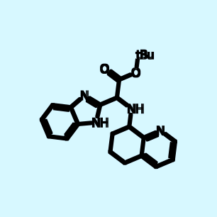 CC(C)(C)OC(=O)C(NC1CCCc2cccnc21)c1nc2ccccc2[nH]1